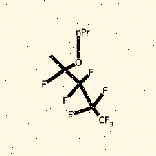 CCCOC(C)(F)C(F)(F)C(F)(F)C(F)(F)F